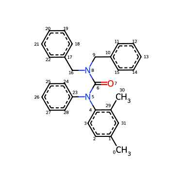 Cc1ccc(N(C(=O)N(Cc2ccccc2)Cc2ccccc2)c2ccccc2)c(C)c1